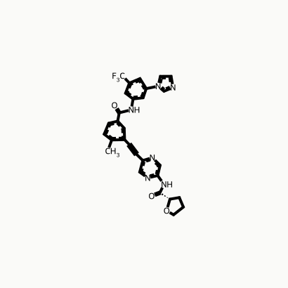 Cc1ccc(C(=O)Nc2cc(-n3ccnc3)cc(C(F)(F)F)c2)cc1C#Cc1cnc(NC(=O)[C@@H]2CCCO2)cn1